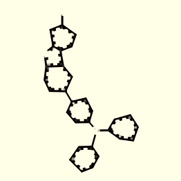 Brc1ccc2c(c1)sc1ccc(-c3ccc(N(c4ccccc4)c4ccccc4)cc3)cc12